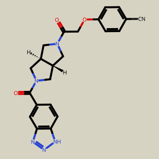 N#Cc1ccc(OCC(=O)N2C[C@@H]3CN(C(=O)c4ccc5[nH]nnc5c4)C[C@H]3C2)cc1